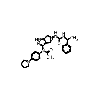 CC(=O)N(c1ccc(N2CCCC2)cc1)c1n[nH]c2c1CN(NC(=O)NC(C)c1ccccc1)C2